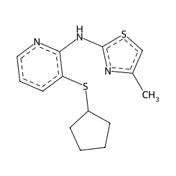 Cc1csc(Nc2ncccc2SC2CCCC2)n1